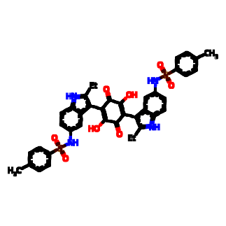 CCc1[nH]c2ccc(NS(=O)(=O)c3ccc(C)cc3)cc2c1C1=C(O)C(=O)C(c2c(CC)[nH]c3ccc(NS(=O)(=O)c4ccc(C)cc4)cc23)=C(O)C1=O